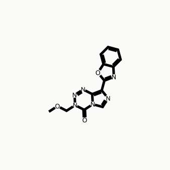 COCn1nnc2c(-c3nc4ccccc4o3)ncn2c1=O